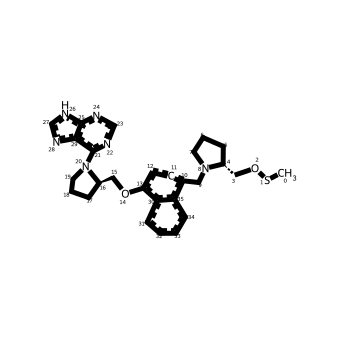 CSOC[C@H]1CCCN1Cc1ccc(OC[C@H]2CCCN2c2ncnc3[nH]cnc23)c2ccccc12